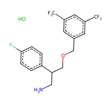 Cl.NCC(COCc1cc(C(F)(F)F)cc(C(F)(F)F)c1)c1ccc(F)cc1